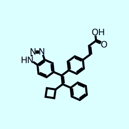 O=C(O)/C=C/c1ccc(/C(=C(\c2ccccc2)C2CCC2)c2ccc3[nH]nnc3c2)cc1